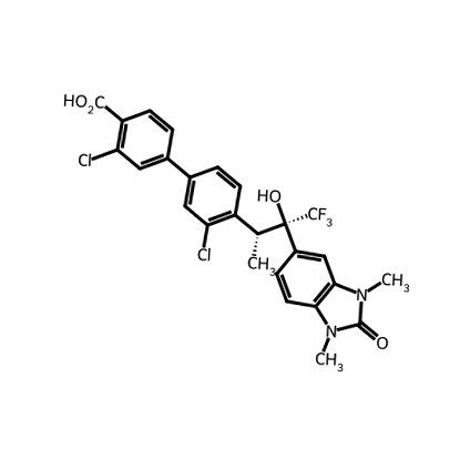 C[C@H](c1ccc(-c2ccc(C(=O)O)c(Cl)c2)cc1Cl)[C@@](O)(c1ccc2c(c1)n(C)c(=O)n2C)C(F)(F)F